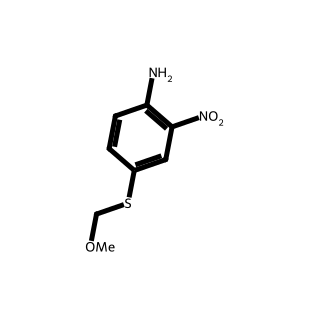 COCSc1ccc(N)c([N+](=O)[O-])c1